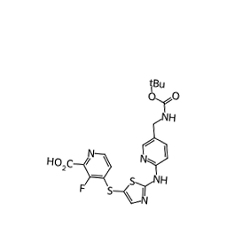 CC(C)(C)OC(=O)NCc1ccc(Nc2ncc(Sc3ccnc(C(=O)O)c3F)s2)nc1